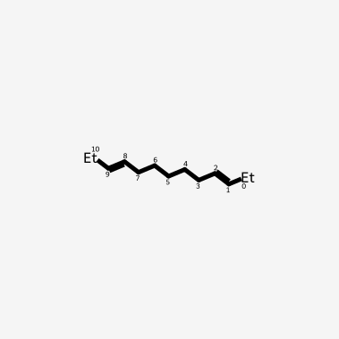 CC/C=C/CCCCC/C=C/CC